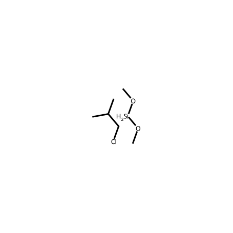 CC(C)CCl.CO[SiH2]OC